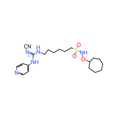 N#C/N=C(\NCCCCCCS(=O)(=O)NOC1CCCCCC1)Nc1ccncc1